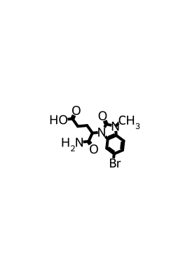 Cn1c(=O)n(C(CCC(=O)O)C(N)=O)c2cc(Br)ccc21